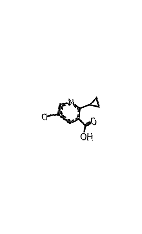 O=C(O)c1cc(Cl)cnc1C1CC1